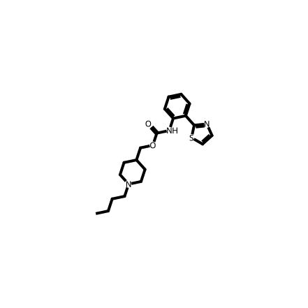 CCCCN1CCC(COC(=O)Nc2ccccc2-c2nccs2)CC1